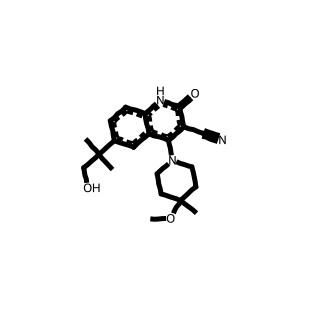 COC1(C)CCN(c2c(C#N)c(=O)[nH]c3ccc(C(C)(C)CO)cc23)CC1